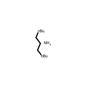 N.[CH2]CCCCCCCCCC